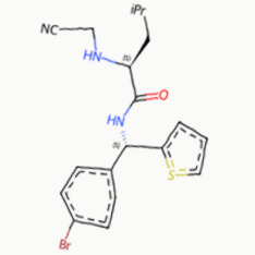 CC(C)C[C@H](NCC#N)C(=O)N[C@@H](c1ccc(Br)cc1)c1cccs1